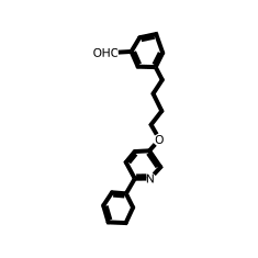 O=Cc1cccc(CCCCOc2ccc(C3=CC=CCC3)nc2)c1